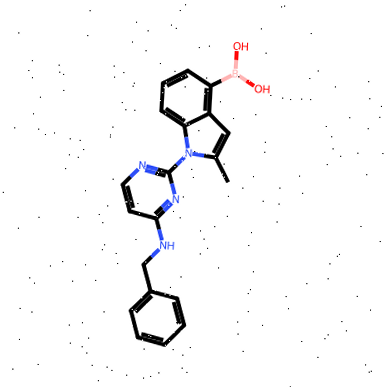 Cc1cc2c(B(O)O)cccc2n1-c1nccc(NCc2ccccc2)n1